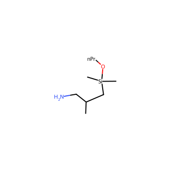 CCCO[Si](C)(C)CC(C)CN